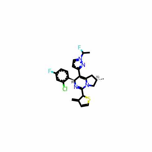 C=C1C=CSC1C1=N[C@@H](c2ccc(F)cc2Cl)C(c2ccn(C(C)F)n2)=C2C[C@H](C)CN12